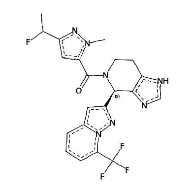 CC(F)c1cc(C(=O)N2CCc3[nH]cnc3[C@H]2c2cc3cccc(C(F)(F)F)n3n2)n(C)n1